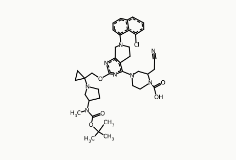 CN(C(=O)OC(C)(C)C)C1CCN(C2(COc3nc4c(c(N5CCN(C(=O)O)C(CC#N)C5)n3)CCN(c3cccc5cccc(Cl)c35)C4)CC2)C1